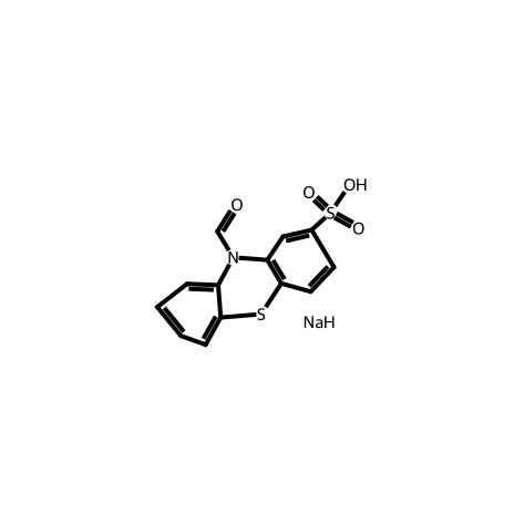 O=CN1c2ccccc2Sc2ccc(S(=O)(=O)O)cc21.[NaH]